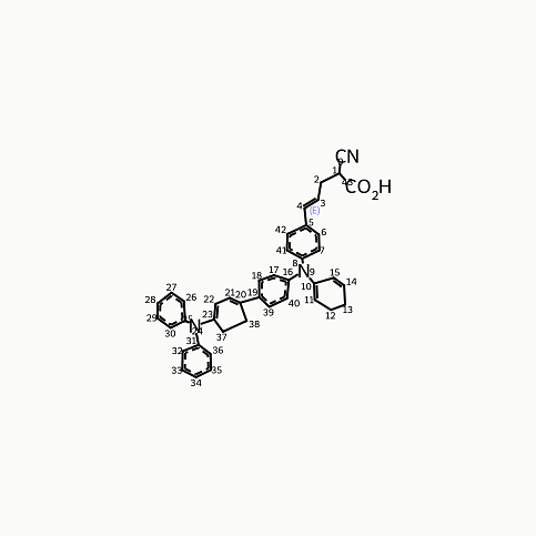 N#CC(C/C=C/c1ccc(N(C2=CCCC=C2)c2ccc(C3=CC=C(N(c4ccccc4)c4ccccc4)CC3)cc2)cc1)C(=O)O